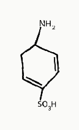 NC1C=CC(S(=O)(=O)O)=CC1